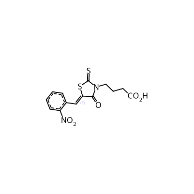 O=C(O)CCCN1C(=O)/C(=C/c2ccccc2[N+](=O)[O-])SC1=S